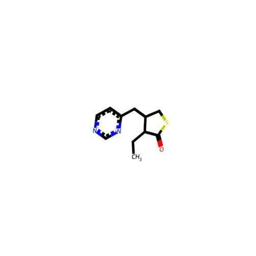 CCC1C(=O)SCC1Cc1ccncn1